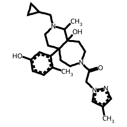 Cc1cnn(CC(=O)N2CCC3(c4cc(O)ccc4C)CCN(CC4CC4)C(C)C3(O)CC2)c1